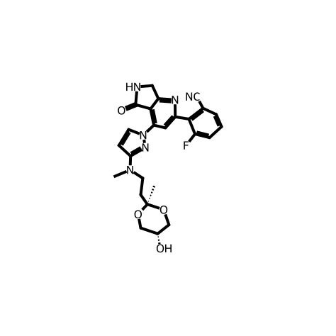 CN(CC[C@]1(C)OC[C@@H](O)CO1)c1ccn(-c2cc(-c3c(F)cccc3C#N)nc3c2C(=O)NC3)n1